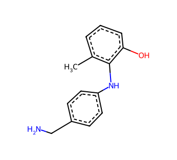 Cc1cccc(O)c1Nc1ccc(CN)cc1